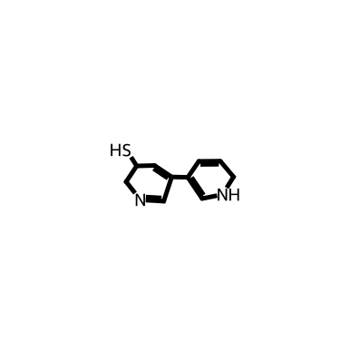 SC1C=C(C2=CNCC=C2)C=NC1